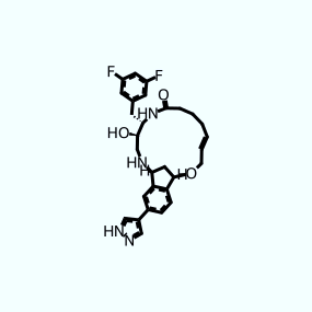 O=C1CCC/C=C/CO[C@@H]2C[C@H](NC[C@@H](O)[C@H](Cc3cc(F)cc(F)c3)N1)c1cc(-c3cn[nH]c3)ccc12